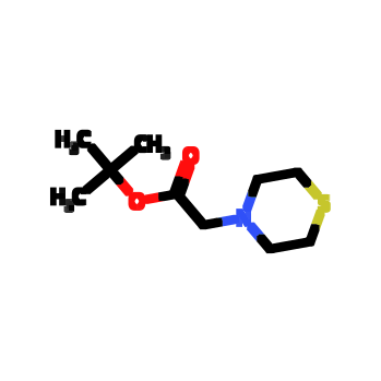 CC(C)(C)OC(=O)CN1CCSCC1